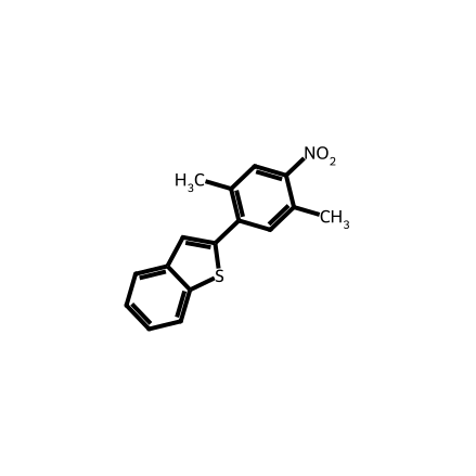 Cc1cc([N+](=O)[O-])c(C)cc1-c1cc2ccccc2s1